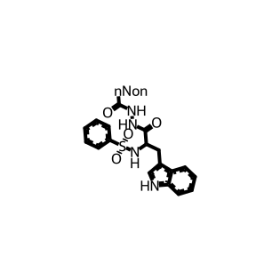 CCCCCCCCCC(=O)NNC(=O)C(Cc1c[nH]c2ccccc12)NS(=O)(=O)c1ccccc1